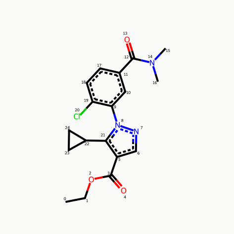 CCOC(=O)c1cnn(-c2cc(C(=O)N(C)C)ccc2Cl)c1C1CC1